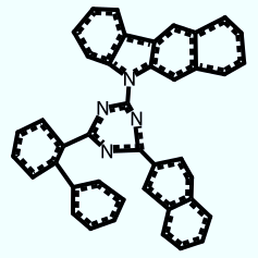 c1ccc(-c2ccccc2-c2nc(-c3ccc4ccccc4c3)nc(-n3c4ccccc4c4cc5ccccc5cc43)n2)cc1